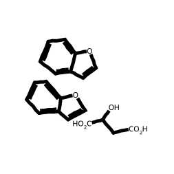 O=C(O)CC(O)C(=O)O.c1ccc2occc2c1.c1ccc2occc2c1